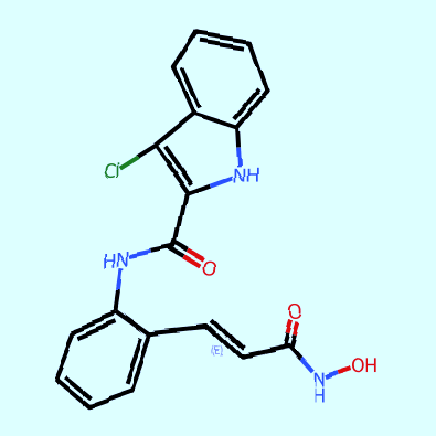 O=C(/C=C/c1ccccc1NC(=O)c1[nH]c2ccccc2c1Cl)NO